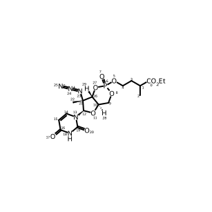 CCOC(=O)C(C)CCOP1(=O)OC[C@H]2O[C@@H](n3ccc(=O)[nH]c3=O)[C@](C)(N=[N+]=[N-])[C@@H]2O1